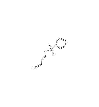 C=CC[CH]CS(=O)(=O)c1ccccc1